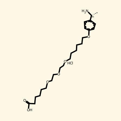 C[C@@H](N)c1ccc(OCCCCCCOCCOCCOCCCCCC(=O)O)cc1.Cl